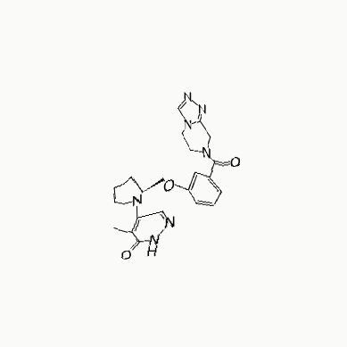 Cc1c(N2CCC[C@H]2COc2cccc(C(=O)N3CCn4cnnc4C3)c2)cn[nH]c1=O